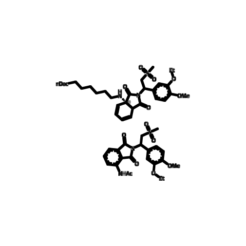 CCCCCCCCCCCCCCCCN[C@@]12C=CC=CC1C(=O)N(C(CS(C)(=O)=O)c1ccc(OC)c(OCC)c1)C2=O.CCOc1cc(C(CS(C)(=O)=O)N2C(=O)c3cccc(NC(C)=O)c3C2=O)ccc1OC